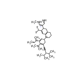 C=CN(C)C1=CC(N2CCCC3=C2C=C(C(F)F)C(/C(C=N)=C/NC)C3)CC(C#CC(C(C)C)C(C)C)=C1N(C)C